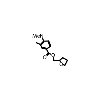 CNc1ccc(C(=O)OCC2CCCO2)cc1C